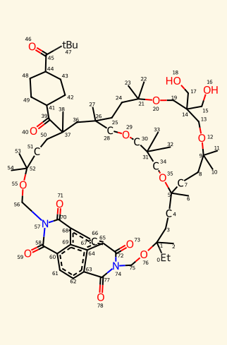 CCC1(C)CCC2(C)CCC(C)(C)OCC(CO)(CO)COC(C)(C)CCC(C)(COCC(C)(C)CO2)CC(C)(C(=O)C2CCC(C(=O)C(C)(C)C)CC2)CCC(C)(C)OCN2C(=O)c3ccc4c5c(ccc(c35)C2=O)C(=O)N(CO1)C4=O